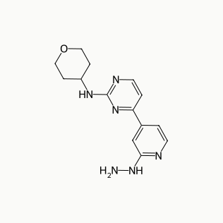 NNc1cc(-c2ccnc(NC3CCOCC3)n2)ccn1